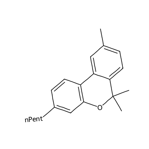 CCCCCc1ccc2c(c1)OC(C)(C)c1ccc(C)cc1-2